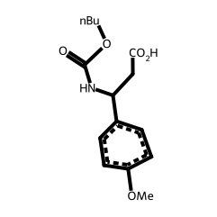 CCCCOC(=O)NC(CC(=O)O)c1ccc(OC)cc1